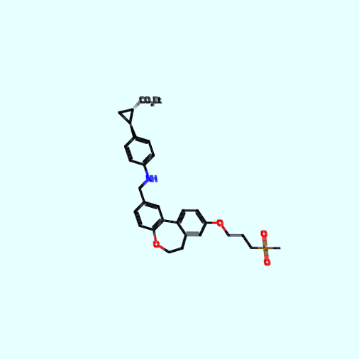 CCOC(=O)[C@H]1C[C@@H]1c1ccc(NCc2ccc3c(c2)-c2ccc(OCCCS(C)(=O)=O)cc2CCO3)cc1